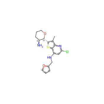 Cc1c([C@H]2OCCC[C@@H]2N)sc2c(NCc3ccco3)cc(Cl)nc12